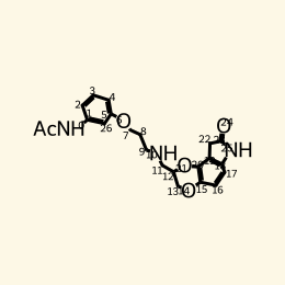 CC(=O)Nc1cccc(OCCCNCC2COc3ccc4c(c3O2)CC(=O)N4)c1